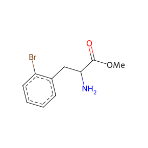 COC(=O)C(N)Cc1ccccc1Br